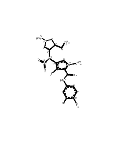 Cc1cc(NC(=O)c2c(F)c(N(C3CN(C(=O)O)CC3CN)[SH](=O)=O)cn2C)ccc1F.Cl